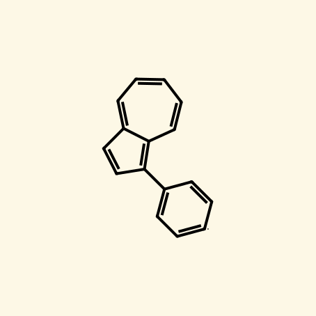 [c]1ccc(-c2ccc3cccccc2-3)cc1